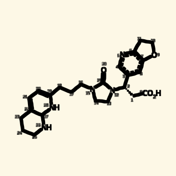 O=C(O)C[C@@H](c1cnc2c(c1)OCC2)N1CCN(CCCC2=CC=C3CCCNC3N2)C1=O